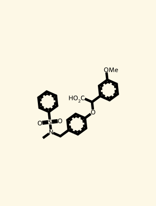 COc1cccc(C(Oc2ccc(CN(C)S(=O)(=O)c3ccccc3)cc2)C(=O)O)c1